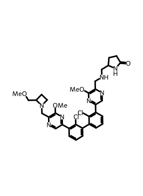 COCC1CCN1Cc1ncc(-c2cccc(-c3cccc(-c4cnc(CNCC5CCC(=O)N5)c(OC)n4)c3Cl)c2Cl)nc1OC